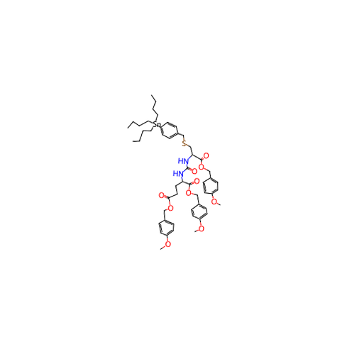 CCC[CH2][Sn]([CH2]CCC)([CH2]CCC)[c]1ccc(CSCC(NC(=O)NC(CCC(=O)OCc2ccc(OC)cc2)C(=O)OCc2ccc(OC)cc2)C(=O)OCc2ccc(OC)cc2)cc1